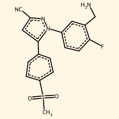 CS(=O)(=O)c1ccc(-c2cc(C#N)nn2-c2ccc(F)c(CN)c2)cc1